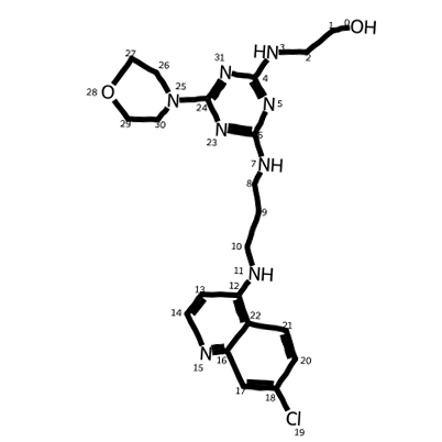 OCCNc1nc(NCCCNc2ccnc3cc(Cl)ccc23)nc(N2CCOCC2)n1